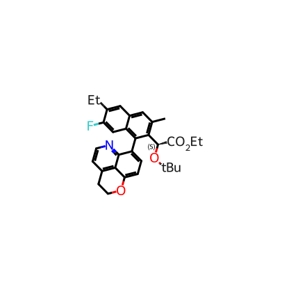 CCOC(=O)[C@@H](OC(C)(C)C)c1c(C)cc2cc(CC)c(F)cc2c1-c1ccc2c3c(ccnc13)CCO2